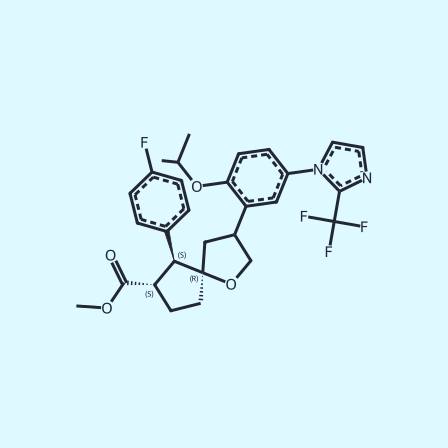 COC(=O)[C@H]1CC[C@@]2(CC(c3cc(-n4ccnc4C(F)(F)F)ccc3OC(C)C)CO2)[C@@H]1c1ccc(F)cc1